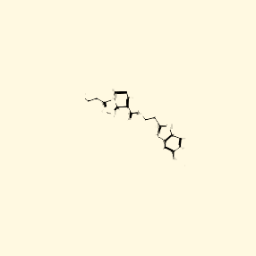 CCCc1nnc2c(C(=O)NCCc3nc4cc(C)ccc4[nH]3)cccn12